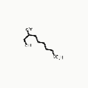 CCCC(CO)CCCCCC(=O)O